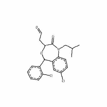 CC(C)CN1C(=O)C(CC=O)OC(c2ccccc2Cl)c2cc(Cl)ccc21